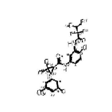 O=C(Nc1ccc(Cl)c(NC(=O)C(F)(F)C(F)F)c1)[C@H]1[C@H](c2cc(Cl)cc(Cl)c2)C1(Cl)Cl